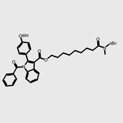 CCCCN(C)C(=O)CCCCCCCCOC(=O)c1c(-c2ccc(OC)cc2)n(C(=O)c2ccccc2)c2ccccc12